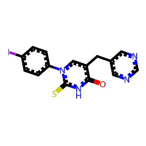 O=c1[nH]c(=S)n(-c2ccc(I)cc2)cc1Cc1cncnc1